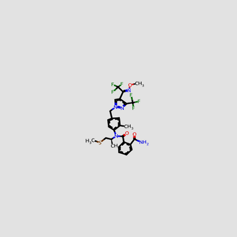 CON=C(c1cn(Cc2ccc(N(C(=O)c3ccccc3C(N)=O)[C@@H](C)CSC)c(C)c2)nc1C(F)(F)F)C(F)(F)F